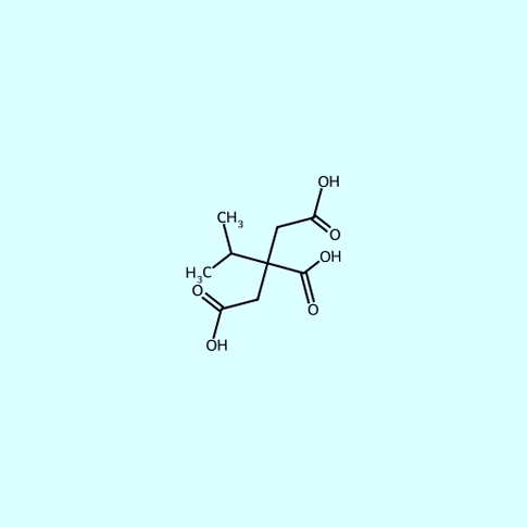 CC(C)C(CC(=O)O)(CC(=O)O)C(=O)O